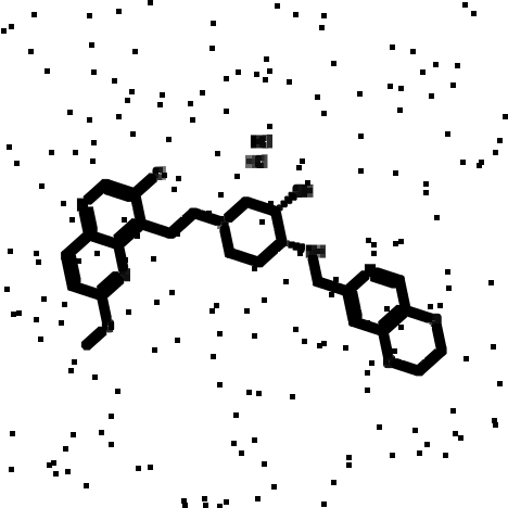 COc1ccc2ncc(Cl)c(CCN3CC[C@@H](NCc4cc5c(cn4)OCCO5)[C@@H](O)C3)c2n1.Cl.Cl